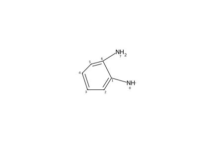 [NH]c1ccccc1N